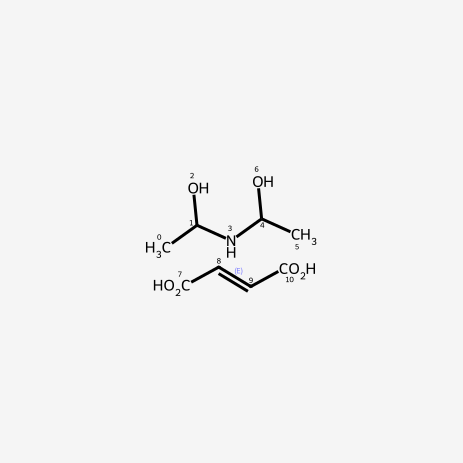 CC(O)NC(C)O.O=C(O)/C=C/C(=O)O